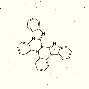 c1ccc2c(c1)N1B(c3nc4ccccc4n3-2)c2nc3ccccc3n2-c2ccccc21